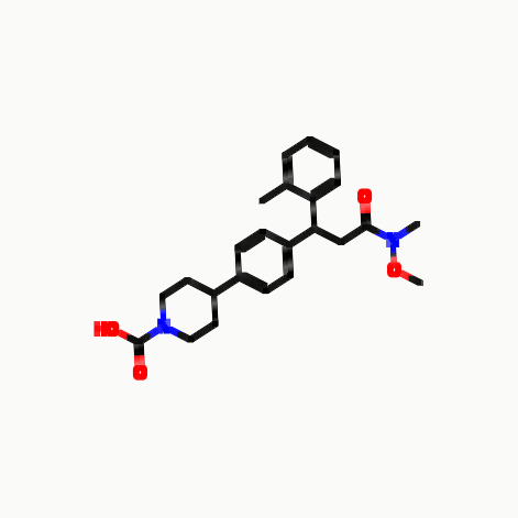 CON(C)C(=O)CC(c1ccc(C2CCN(C(=O)O)CC2)cc1)c1ccccc1C